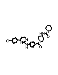 O=C(NC1CCN(C(=O)c2ccc(Nc3nccc(-c4ccc(Cl)cc4)n3)cc2)CC1)N1CCCCC1